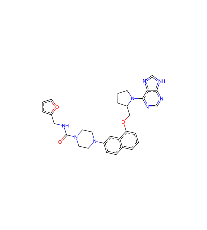 O=C(NCc1ccco1)N1CCN(c2ccc3cccc(OCC4CCCN4c4ncnc5[nH]cnc45)c3c2)CC1